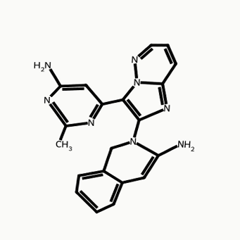 Cc1nc(N)cc(-c2c(N3Cc4ccccc4C=C3N)nc3cccnn23)n1